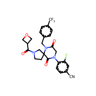 N#Cc1ccc(N2CC(=O)N(Cc3ccc(C(F)(F)F)cc3)C3(CCN(C(=O)C4COC4)C3)C2=O)c(F)c1